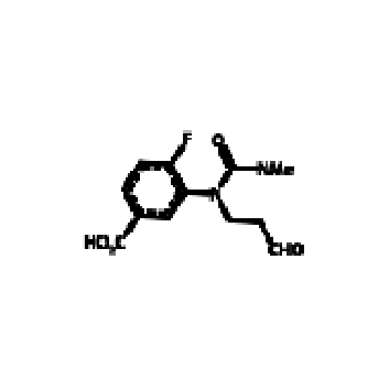 CNC(=O)N(CCC=O)c1cc(C(=O)O)ccc1F